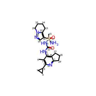 Cc1c(C2CC2)nc2c(c1NC(=O)NS(C)(N)(=O)c1cnn3c1CCCC3)CCC2